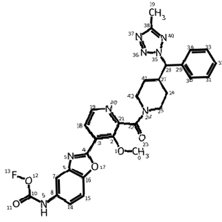 COc1c(-c2nc3cc(NC(=O)OF)ccc3o2)ccnc1C(=O)N1CCC(C(c2ccccc2)n2nnc(C)n2)CC1